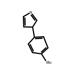 CC(C)(C)c1ccc(C2C=CN=C2)cc1